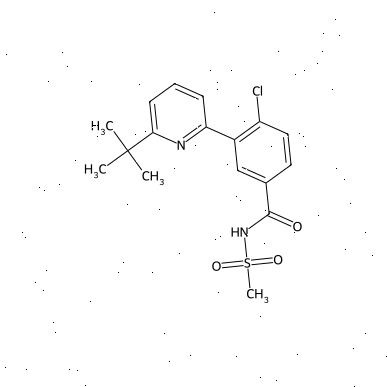 CC(C)(C)c1cccc(-c2cc(C(=O)NS(C)(=O)=O)ccc2Cl)n1